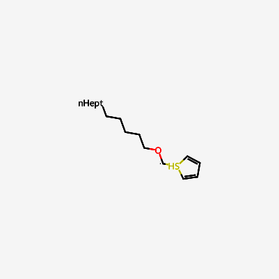 CCCCCCCCCCCCO[CH][SH]1C=CC=C1